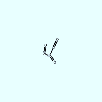 [O]=[Zr].[O]=[Zr][Mo]=[O]